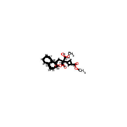 COC(=O)C1CC(C(Cc2cccc3ccccc23)(C(=O)O)C(=O)OC)C1